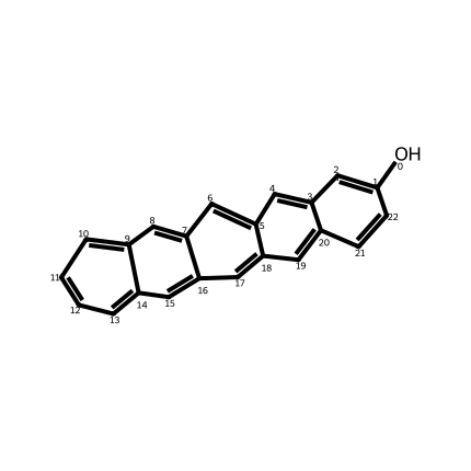 Oc1[c]c2cc3cc4cc5ccccc5cc4cc3cc2cc1